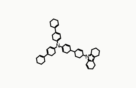 C1=Cc2c(c3c(n2C2C=CC(C4C=CC(N(C5=CC=C(C6=CCCCC6)CC5)C5=CC=C(C6=CCCCC6)CC5)=CC4)CC2)CCCC3)CC1